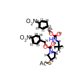 CC(=O)S[C@H]1C[C@@H](CC(C)(C)CNC(=O)OCc2ccc([N+](=O)[O-])cc2)N(C(=O)OCc2ccc([N+](=O)[O-])cc2)C1